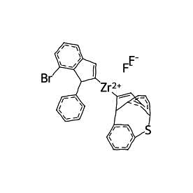 Brc1cccc2c1C(c1ccccc1)[C]([Zr+2][C]1=Cc3c4cccc3C1c1cccc(c1)S4)=C2.[F-].[F-]